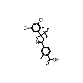 Cc1cc(C2=NSC(c3cc(Cl)cc(Cl)c3)(C(F)(F)F)C2)ccc1C(=O)O